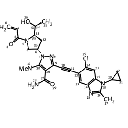 C=CC(=O)N1C[C@@H](n2nc(C#Cc3cc4nc(C)n(C5CC5)c4cc3Cl)c(C(N)=O)c2NC)C[C@@H]1[C@H](C)O